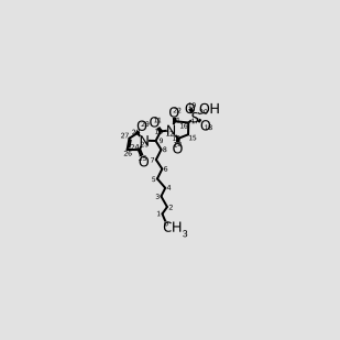 CCCCCCCCCC(C(=O)N1C(=O)CC(S(=O)(=O)O)C1=O)N1C(=O)C=CC1=O